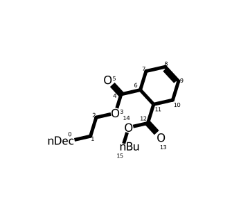 CCCCCCCCCCCCOC(=O)C1CC=CCC1C(=O)OCCCC